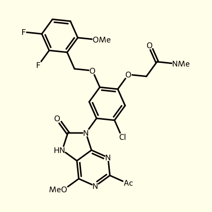 CNC(=O)COc1cc(Cl)c(-n2c(=O)[nH]c3c(OC)nc(C(C)=O)nc32)cc1OCc1c(OC)ccc(F)c1F